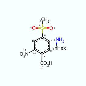 CCCCCCN.CS(=O)(=O)c1ccc(C(=O)O)c([N+](=O)[O-])c1